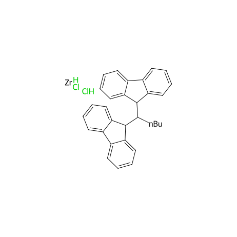 CCCCC(C1c2ccccc2-c2ccccc21)C1c2ccccc2-c2ccccc21.Cl.Cl.[Zr]